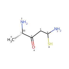 C[C@H](N)C(=O)CC(N)S